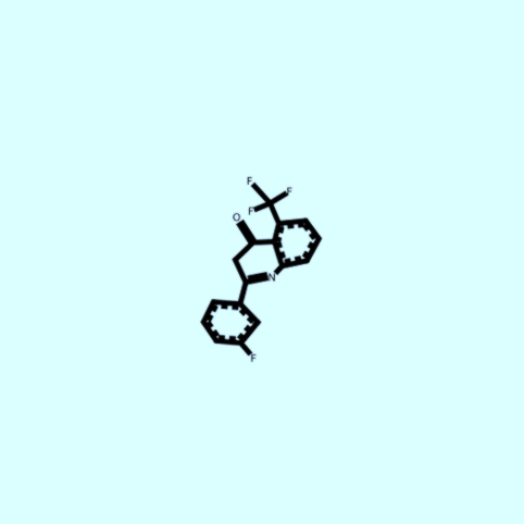 O=C1CC(c2cccc(F)c2)=Nc2cccc(C(F)(F)F)c21